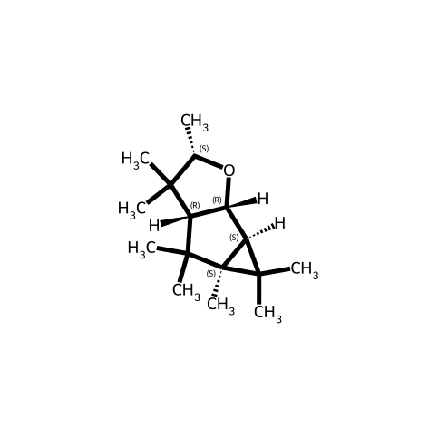 C[C@@H]1O[C@H]2[C@@H](C1(C)C)C(C)(C)[C@@]1(C)[C@@H]2C1(C)C